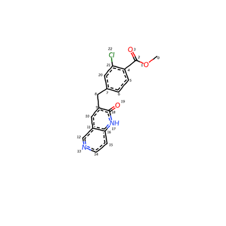 COC(=O)c1ccc(Cc2cc3cnccc3[nH]c2=O)cc1Cl